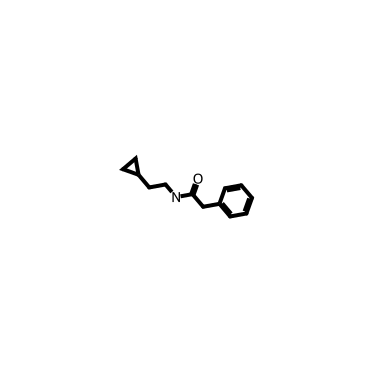 O=C(Cc1ccccc1)[N]CCC1CC1